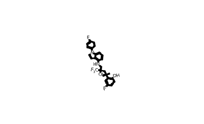 CC(C)(CC(O)(CNc1cccc2c1ccn2-c1ccc(F)cc1)C(F)(F)F)c1cc(F)ccc1O